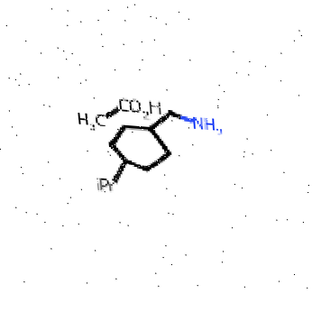 CC(=O)O.CC(C)C1CCC(CN)CC1